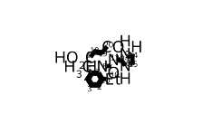 CCc1cccc(C)c1NC(=O)N=C1NCCN1.O=C(O)/C=C/C(=O)O